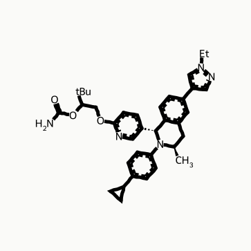 CCn1cc(-c2ccc3c(c2)C[C@@H](C)N(c2ccc(C4CC4)cc2)[C@@H]3c2ccc(OCC(OC(N)=O)C(C)(C)C)nc2)cn1